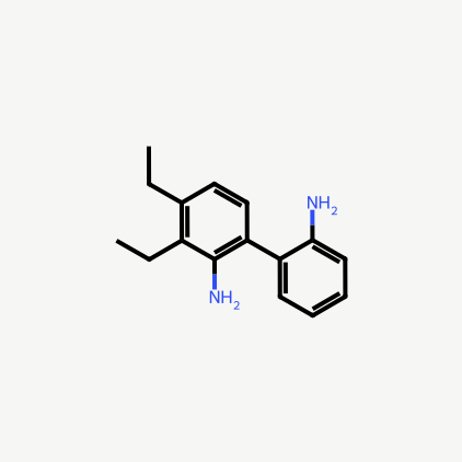 CCc1ccc(-c2ccccc2N)c(N)c1CC